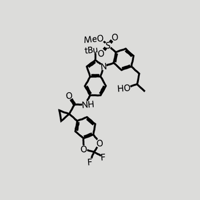 COS(=O)(=O)c1ccc(CC(C)O)cc1-n1c(C(C)(C)C)cc2cc(NC(=O)C3(c4ccc5c(c4)OC(F)(F)O5)CC3)ccc21